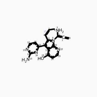 C=C=C(N)n1c(/C=C\C)c(-c2ccnc(N)n2)c2c(O)ccnc21